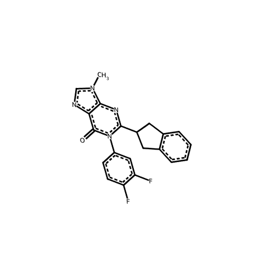 Cn1cnc2c(=O)n(-c3ccc(F)c(F)c3)c(C3Cc4ccccc4C3)nc21